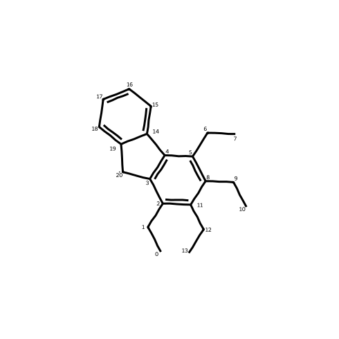 CCc1c2c(c(CC)c(CC)c1CC)-c1ccccc1[CH]2